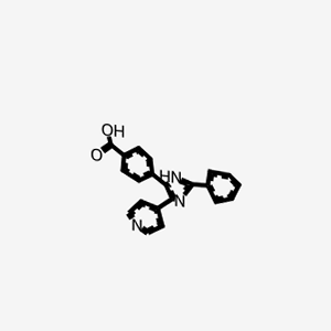 O=C(O)c1ccc(-c2[nH]c(-c3ccccc3)nc2-c2ccncc2)cc1